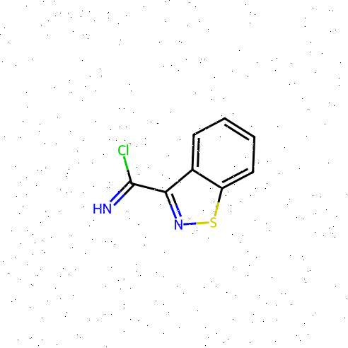 N=C(Cl)c1nsc2ccccc12